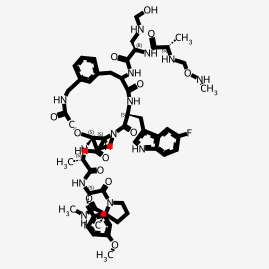 CNOCN[C@@H](C)C(=O)N[C@H](CNCO)C(=O)NC1Cc2cccc(c2)CNC(=O)CO[C@H]2CCN(C(=O)[C@H](Cc3c[nH]c4ccc(F)cc34)NC1=O)[C@@H]2C(=O)N[C@@H](C)C(=O)N[C@@H](Cc1ccc(OC)cc1)C(=O)N1CCC[C@@]1(C)C(=O)NC